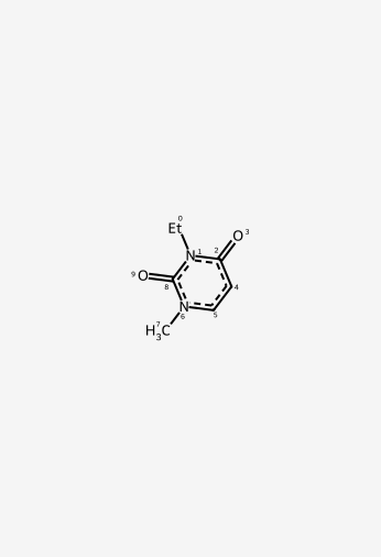 CCn1c(=O)ccn(C)c1=O